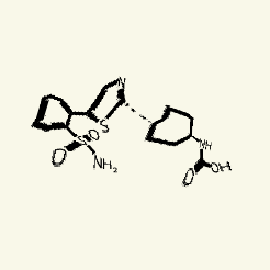 NS(=O)(=O)c1ccccc1-c1cnc([C@H]2CC[C@H](NC(=O)O)CC2)s1